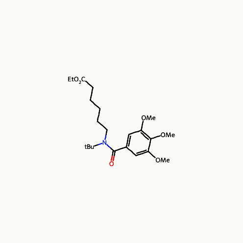 CCOC(=O)CCCCCN(C(=O)c1cc(OC)c(OC)c(OC)c1)C(C)(C)C